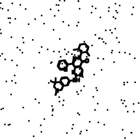 CC1CCCC(C)C1n1nc(-c2ccccn2)c2nc(Nc3ccc4c(c3)CN(C)CC4(C)C)ncc2c1=O